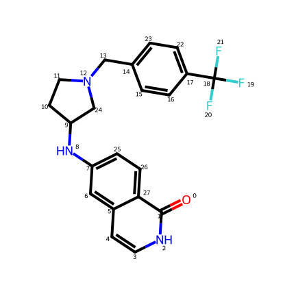 O=c1[nH]ccc2cc(NC3CCN(Cc4ccc(C(F)(F)F)cc4)C3)ccc12